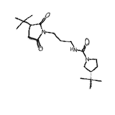 CC(C)(C)C1CC(=O)N(CCCNC(=O)N2CC[C@H](C(C)(C)C)C2)C1=O